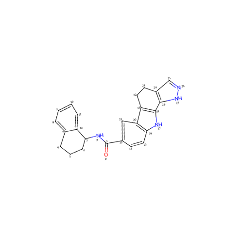 O=C(NC1CCCc2ccccc21)c1ccc2[nH]c3c(c2c1)CCc1cn[nH]c1-3